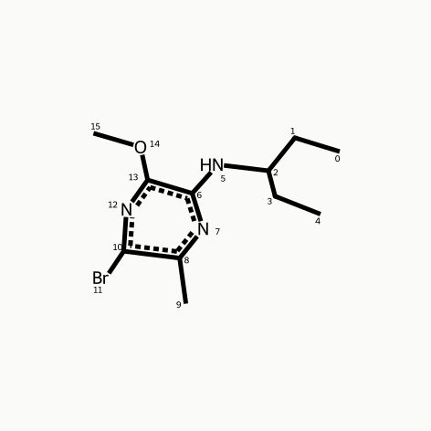 CCC(CC)Nc1nc(C)c(Br)nc1OC